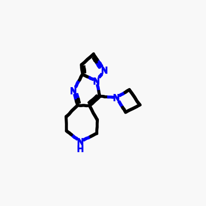 c1cc2nc3c(c(N4CCC4)n2n1)CCNCC3